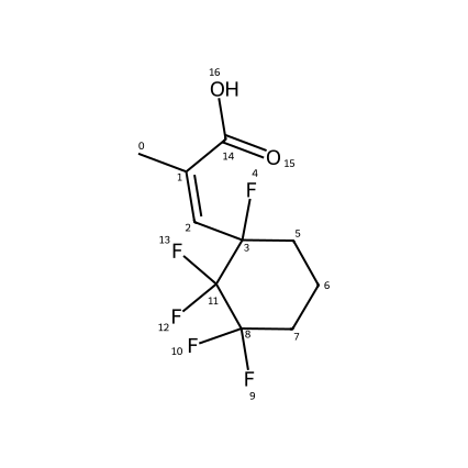 CC(=CC1(F)CCCC(F)(F)C1(F)F)C(=O)O